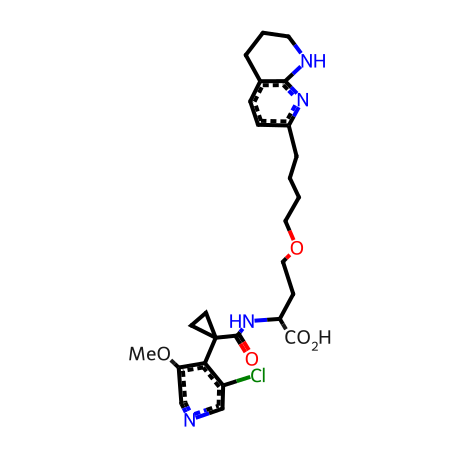 COc1cncc(Cl)c1C1(C(=O)NC(CCOCCCCc2ccc3c(n2)NCCC3)C(=O)O)CC1